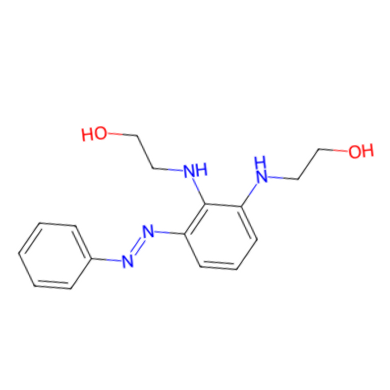 OCCNc1cccc(N=Nc2ccccc2)c1NCCO